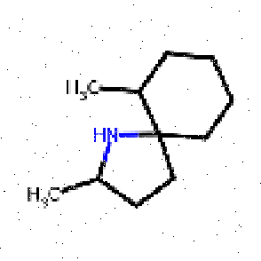 CC1CCC2(CCCCC2C)N1